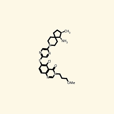 COCCCn1cnc2ccc(Sc3cnc(N4CCC5(CC[C@@H](C)[C@H]5N)CC4)cn3)c(Cl)c2c1=O